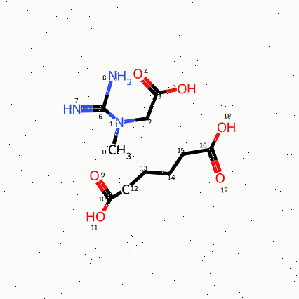 CN(CC(=O)O)C(=N)N.O=C(O)CCCCC(=O)O